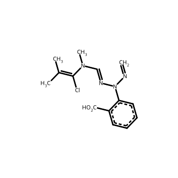 C=NN(/N=C/N(C)C(Cl)=C(C)C)c1ccccc1C(=O)O